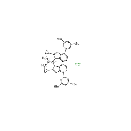 C[SiH](C)[Zr+2]([CH]1C(C2CC2)=Cc2c(-c3cc(C(C)(C)C)cc(C(C)(C)C)c3)cccc21)[CH]1C(C2CC2)=Cc2c(-c3cc(C(C)(C)C)cc(C(C)(C)C)c3)cccc21.[Cl-].[Cl-]